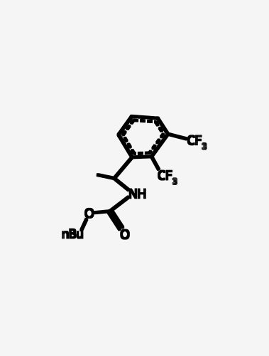 CCCCOC(=O)NC(C)c1cccc(C(F)(F)F)c1C(F)(F)F